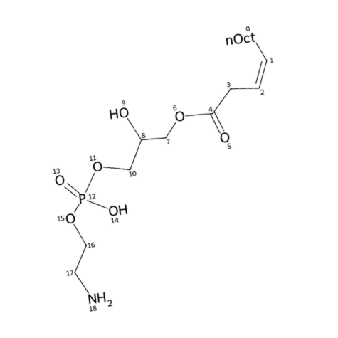 CCCCCCCC/C=C\CC(=O)OCC(O)COP(=O)(O)OCCN